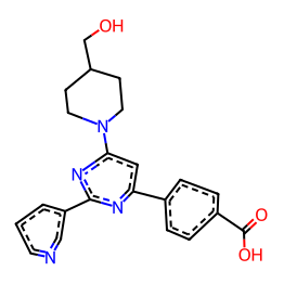 O=C(O)c1ccc(-c2cc(N3CCC(CO)CC3)nc(-c3cccnc3)n2)cc1